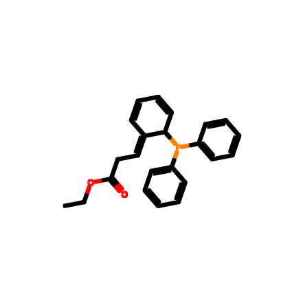 CCOC(=O)CC=C1C=CC=CC1P(c1ccccc1)c1ccccc1